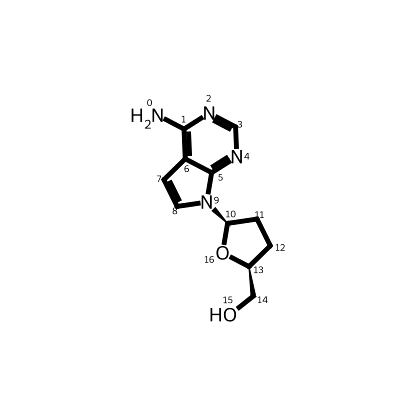 Nc1ncnc2c1ccn2[C@H]1CC[C@@H](CO)O1